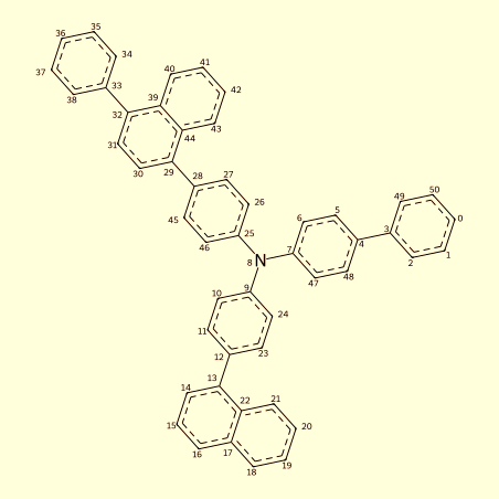 c1ccc(-c2ccc(N(c3ccc(-c4cccc5ccccc45)cc3)c3ccc(-c4ccc(-c5ccccc5)c5ccccc45)cc3)cc2)cc1